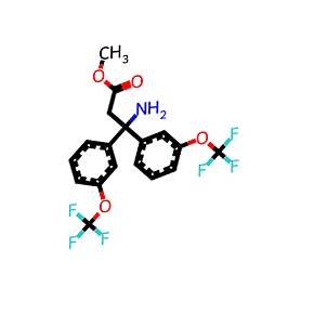 COC(=O)CC(N)(c1cccc(OC(F)(F)F)c1)c1cccc(OC(F)(F)F)c1